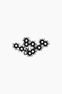 c1ccc(-c2ccc(-c3nc4c(ccc5ccc(N(c6cccc(-c7cccc8ccccc78)c6)c6cccc(-c7cccc8ccccc78)c6)cc54)o3)cc2)cc1